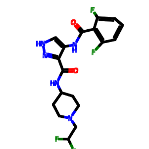 O=C(NC1CCN(CC(F)F)CC1)c1n[nH]cc1NC(=O)c1c(F)cccc1F